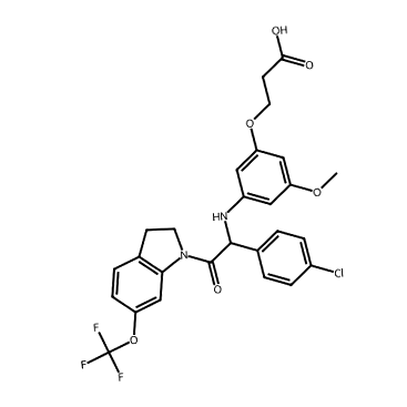 COc1cc(NC(C(=O)N2CCc3ccc(OC(F)(F)F)cc32)c2ccc(Cl)cc2)cc(OCCC(=O)O)c1